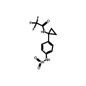 O=C(NC1(c2ccc(N[SH](=O)=O)cc2)CC1)C(F)(F)F